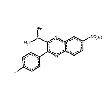 CCOC(=O)c1ccc2nc(-c3ccc(F)cc3)c(N(C)C(C)C)nc2c1